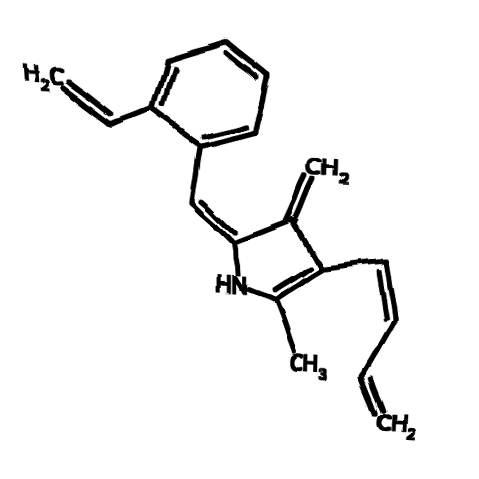 C=C/C=C\c1c(C)[nH]/c(=C/c2ccccc2C=C)c1=C